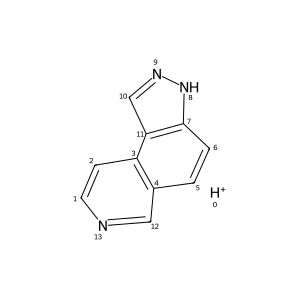 [H+].c1cc2c(ccc3[nH]ncc32)cn1